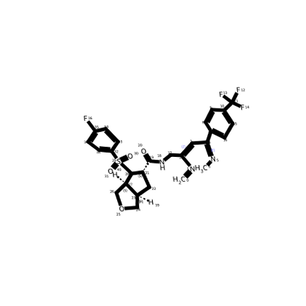 C=N/C(=C\C(=N/C)c1ccc(C(F)(F)F)cc1)CNC(=O)[C@@H]1C[C@H]2COC[C@H]2C1S(=O)(=O)c1ccc(F)cc1